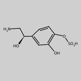 NC[C@H](O)c1ccc(OS(=O)(=O)O)c(O)c1